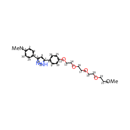 CNc1ccc(-c2cc(-c3ccc(OCCOCCOCCOCCOC)cc3)[nH]n2)cc1